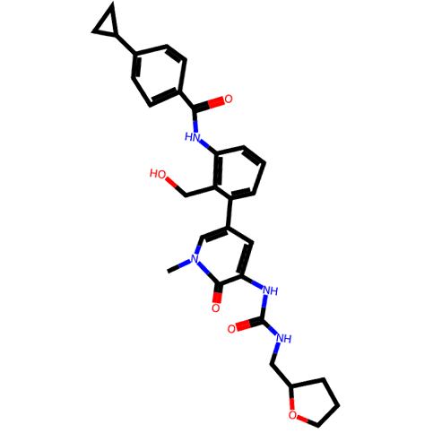 Cn1cc(-c2cccc(NC(=O)c3ccc(C4CC4)cc3)c2CO)cc(NC(=O)NCC2CCCO2)c1=O